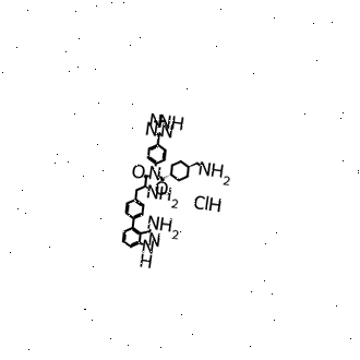 Cl.NC[C@H]1CC[C@H](C(=O)N(C(=O)[C@@H](N)Cc2ccc(-c3cccc4[nH]nc(N)c34)cc2)c2ccc(-c3nn[nH]n3)cc2)CC1